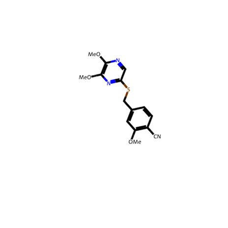 COc1cc(CSc2cnc(OC)c(OC)n2)ccc1C#N